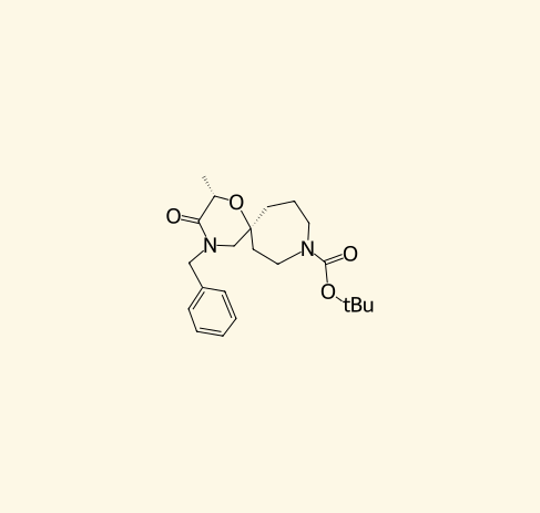 C[C@@H]1O[C@]2(CCCN(C(=O)OC(C)(C)C)CC2)CN(Cc2ccccc2)C1=O